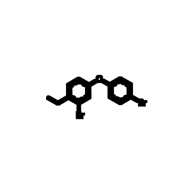 CCc1ccc(Oc2ccc(Br)cc2)cc1Br